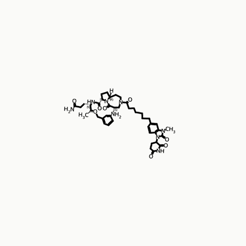 C[C@@H](OCc1ccccc1)[C@H](CCC(N)=O)NC(=O)[C@@H]1CC[C@@H]2CCN(C(=O)CCCCCCc3ccc4c(c3)n(C)c(=O)n4C3CCC(=O)NC3=O)C[C@H](N)C(=O)N21